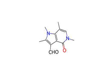 Cc1cn(C)c(=O)c2c(C=O)c(C)n(C)c12